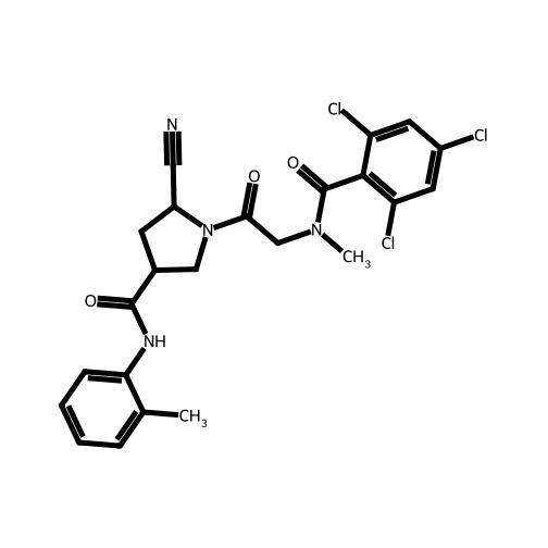 Cc1ccccc1NC(=O)C1CC(C#N)N(C(=O)CN(C)C(=O)c2c(Cl)cc(Cl)cc2Cl)C1